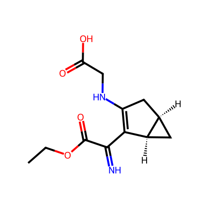 CCOC(=O)C(=N)C1=C(NCC(=O)O)C[C@H]2C[C@@H]12